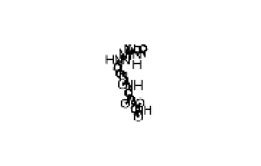 Cc1cccc(C)c1Nc1nn(C)c2nc(Nc3ccc4c(c3)CN(CC(=O)Nc3ccc5c(c3)CN(C3CCC(=O)NC3=O)C5=O)CC4)ncc12